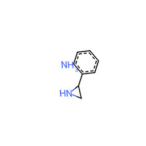 N.c1ccc(C2CN2)cc1